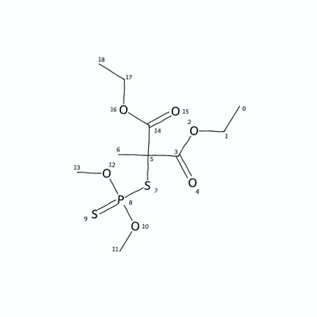 CCOC(=O)C(C)(SP(=S)(OC)OC)C(=O)OCC